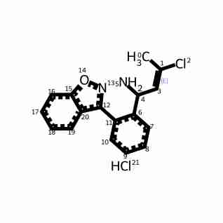 C/C(Cl)=C\C(N)c1ccccc1-c1noc2ccccc12.Cl